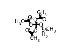 C[SiH2]OC(OC(C)=O)(OC(C)=O)OC(C)=O